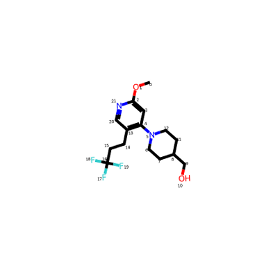 COc1cc(N2CCC(CO)CC2)c(CCC(F)(F)F)cn1